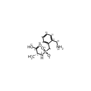 C[C@@H](NS(=O)(=O)Cc1ccccc1CN)C(=O)O